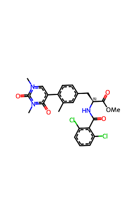 COC(=O)[C@H](Cc1ccc(-c2cn(C)c(=O)n(C)c2=O)c(C)c1)NC(=O)c1c(Cl)cccc1Cl